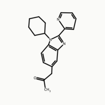 CC(=O)Cc1ccc2c(c1)nc(-c1ccccn1)n2C1CCCCC1